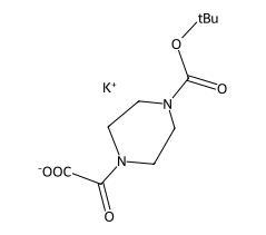 CC(C)(C)OC(=O)N1CCN(C(=O)C(=O)[O-])CC1.[K+]